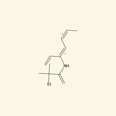 C=C/C(=C\C=C/C)NC(=C)C(C)(C)CC